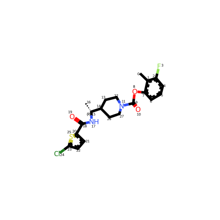 Cc1c(F)cccc1OC(=O)N1CCC([C@@H](C)NC(=O)c2ccc(Cl)s2)CC1